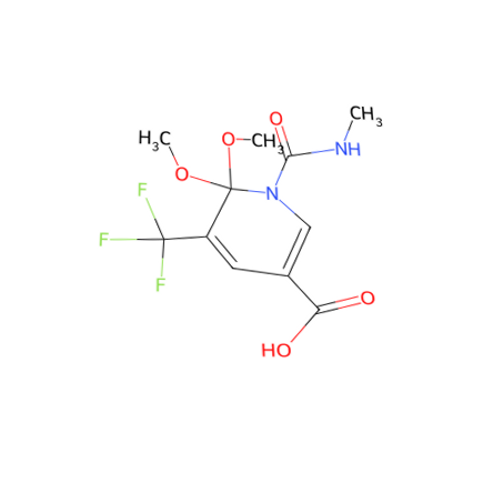 CNC(=O)N1C=C(C(=O)O)C=C(C(F)(F)F)C1(OC)OC